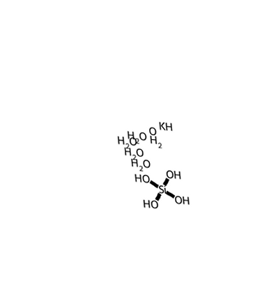 O.O.O.O.O.O[Si](O)(O)O.[KH]